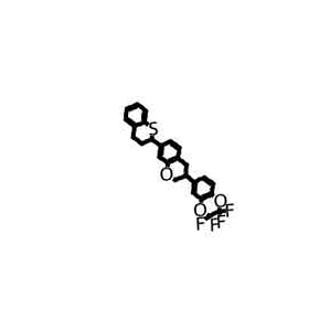 FC1(F)Oc2ccc(C3COc4cc(C5CCc6ccccc6S5)ccc4C3)cc2OC1(F)F